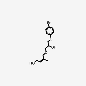 C/C(=C/CO)COCC(O)COc1ccc(Br)cc1